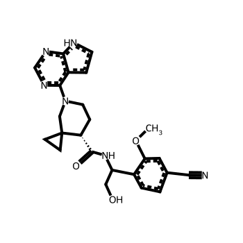 COc1cc(C#N)ccc1C(CO)NC(=O)[C@H]1CCN(c2ncnc3[nH]ccc23)CC12CC2